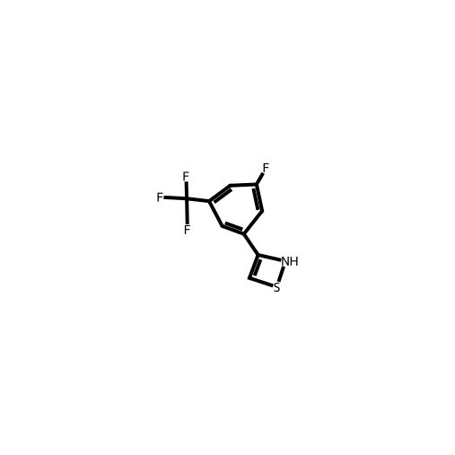 Fc1cc(-c2cs[nH]2)cc(C(F)(F)F)c1